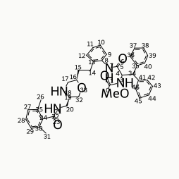 COC(=O)NC(C(=O)Nc1ccccc1CC[C@@H]1CN[C@H](CNC(=O)c2c(C)cccc2C)CO1)C(c1ccccc1)c1ccccc1